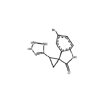 O=C1Nc2ccc(Br)cc2C12CC2C1=NNNN1